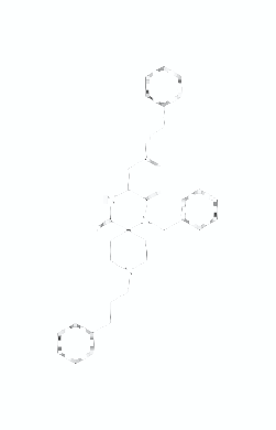 O=C(CC1NC(=O)C2(CCN(CCCc3ccccc3)CC2)N(Cc2ccccc2)C1=O)OCc1ccccc1